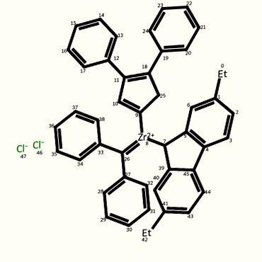 CCc1ccc2c(c1)[CH]([Zr+2]([C]1=CC(c3ccccc3)=C(c3ccccc3)C1)=[C](c1ccccc1)c1ccccc1)c1cc(CC)ccc1-2.[Cl-].[Cl-]